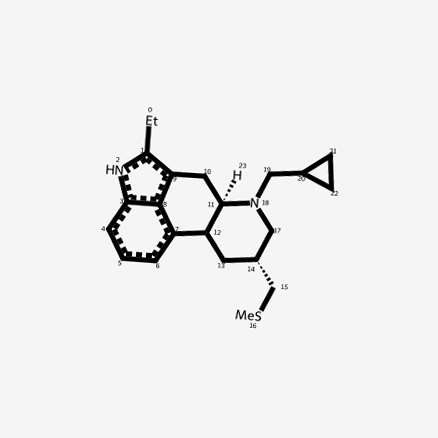 CCc1[nH]c2cccc3c2c1C[C@@H]1C3C[C@@H](CSC)CN1CC1CC1